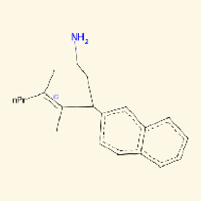 CCC/C(C)=C(\C)C(CCN)c1ccc2ccccc2c1